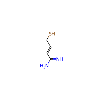 N=C(N)/C=C/CS